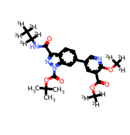 [2H]C([2H])([2H])OC(=O)c1cc(-c2ccc3c(C(=O)NC([2H])([2H])C([2H])([2H])[2H])nn(C(=O)OC(C)(C)C)c3c2)cnc1OC([2H])([2H])[2H]